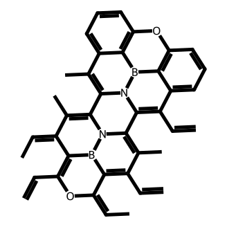 C=CC1=C2B3C(=C(C=C)C(C)=C4C5=C(C=C)c6cccc7c6B6c8c(cccc8C(C)=C(C(=C(C)/C2=C/C)N34)N65)O7)/C(=C\C)O1